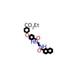 CCOC(=O)[C@H]1CC[C@@H](Oc2ccc(C(=O)NCCNC(=O)c3ccc4ccccc4c3)cc2)CC1